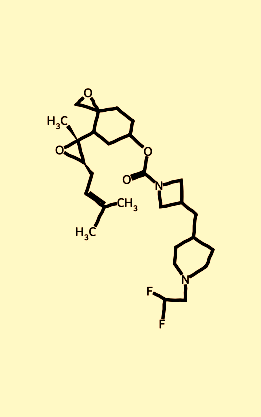 CC(C)=CC[C@H]1O[C@]1(C)C1CC(OC(=O)N2CC(CC3CCN(CC(F)F)CC3)C2)CCC12CO2